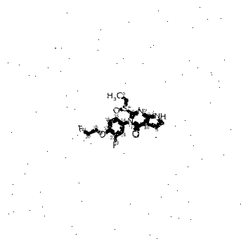 CC[S+]([O-])c1nc2[nH]ccc2c(=O)n1-c1ccc(OCCF)c(F)c1